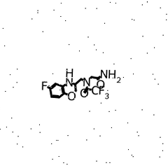 NC(=O)CN(CC1COc2ccc(F)cc2N1)C(=O)C(F)(F)F